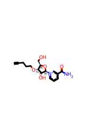 C#CCCCO[C@H]1[C@@H](O)[C@H]([n+]2cccc(C(N)=O)c2)O[C@@H]1CO